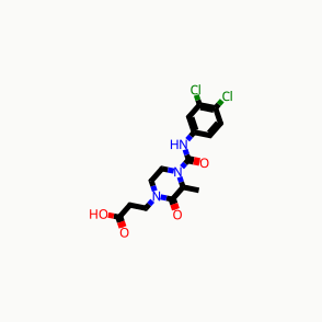 CC1C(=O)N(CCC(=O)O)CCN1C(=O)Nc1ccc(Cl)c(Cl)c1